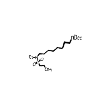 CCCCCCCCCCCCCCCCCCN(CC)S(=O)(=O)CCO